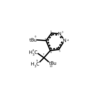 CC(C)(C)c1cnncc1C(C)(C)C(C)(C)C